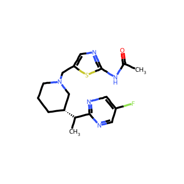 CC(=O)Nc1ncc(CN2CCC[C@@H](C(C)c3ncc(F)cn3)C2)s1